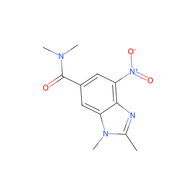 Cc1nc2c([N+](=O)[O-])cc(C(=O)N(C)C)cc2n1C